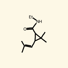 CCNC(=O)C1C(C=C(C)C)C1(C)C